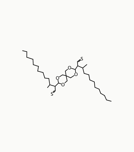 CCCCCCCCCCC(C)C(C=S)C1OCC2(CO1)COC(C(C=S)C(C)CCCCCCCCCC)OC2